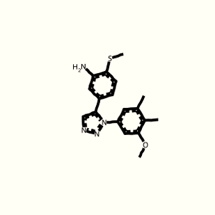 COc1cc(-n2nncc2-c2ccc(SC)c(N)c2)cc(C)c1C